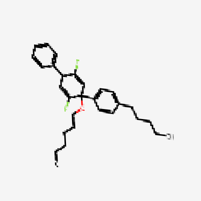 CCCCCCOC1(c2ccc(CCCCC)cc2)C=C(F)C(c2ccccc2)C=C1F